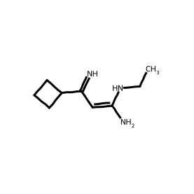 CCN/C(N)=C\C(=N)C1CCC1